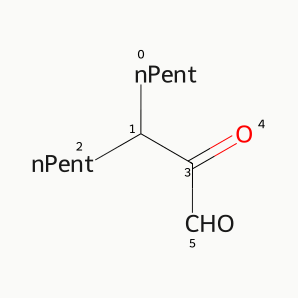 CCCCCC(CCCCC)C(=O)C=O